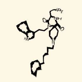 CC(C)CC1NC(=O)C2(CCN(CCCCCc3ccccc3)CC2)N(CCc2c[nH]c3ccccc23)C1=O